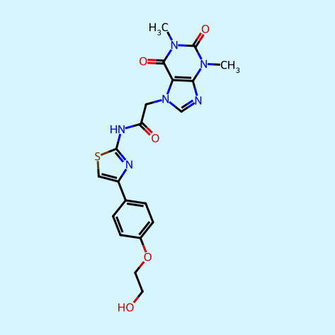 Cn1c(=O)c2c(ncn2CC(=O)Nc2nc(-c3ccc(OCCO)cc3)cs2)n(C)c1=O